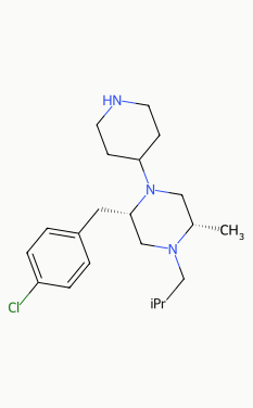 CC(C)CN1C[C@H](Cc2ccc(Cl)cc2)N(C2CCNCC2)C[C@@H]1C